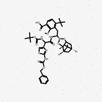 COc1c(C(=O)O)ccc(C(C)(C)C)c1CC(NC(=O)C(NC(=O)OC(C)(C)C)c1csc(NC(=O)OCc2ccccc2)n1)B1OC2C[C@H]3C[C@@H](C3(C)C)[C@]2(C)O1